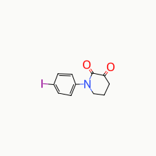 O=C1CCCN(c2ccc(I)cc2)C1=O